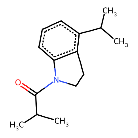 CC(C)C(=O)N1CCc2c(C(C)C)cccc21